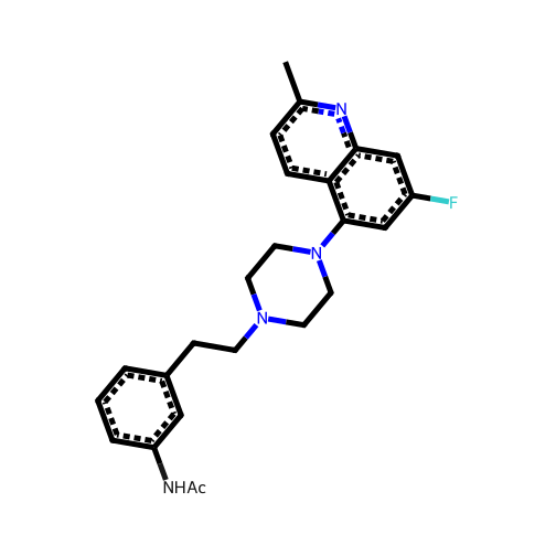 CC(=O)Nc1cccc(CCN2CCN(c3cc(F)cc4nc(C)ccc34)CC2)c1